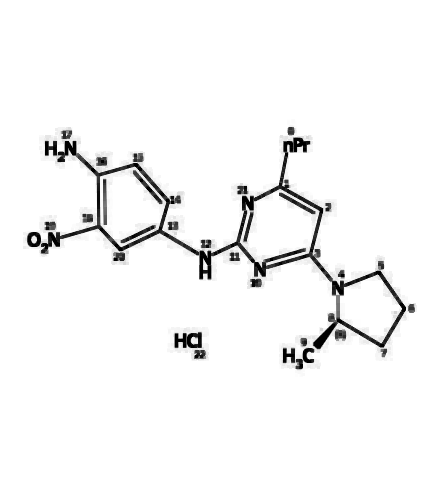 CCCc1cc(N2CCC[C@H]2C)nc(Nc2ccc(N)c([N+](=O)[O-])c2)n1.Cl